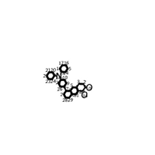 O=C1C=Cc2cc3c(-c4ccc(N(c5ccccc5)c5ccccc5)cc4)cccc3cc2C1=O